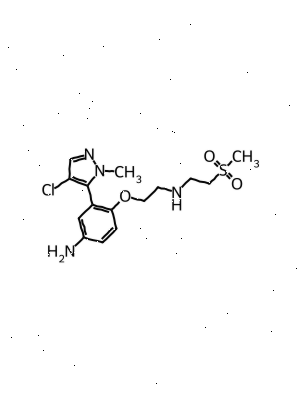 Cn1ncc(Cl)c1-c1cc(N)ccc1OCCNCCS(C)(=O)=O